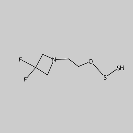 FC1(F)CN(CCOSS)C1